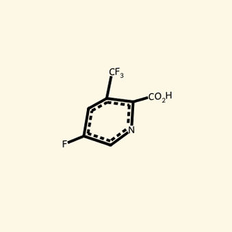 O=C(O)c1ncc(F)cc1C(F)(F)F